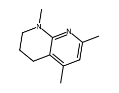 Cc1cc(C)c2c(n1)N(C)CCC2